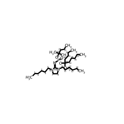 CCCCCCN1CCN(CCCCCC)C1=NP(=O)(OC(C)(C)CCC)OC(C)(CCCC)CCCCC